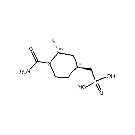 C[C@@H]1C[C@@H](CP(=O)(O)O)CCN1C(N)=O